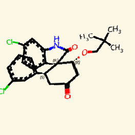 CC(C)(C)CO[C@@H]1CC(=O)C[C@@H](c2cccc(Cl)c2)[C@]12C(=O)Nc1cc(Cl)ccc12